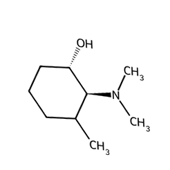 CC1CCC[C@H](O)[C@H]1N(C)C